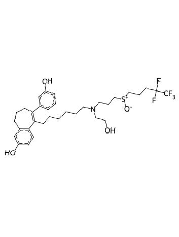 [O-][S+](CCCN(CCO)CCCCCCC1=C(c2cccc(O)c2)CCCc2cc(O)ccc21)CCCC(F)(F)C(F)(F)F